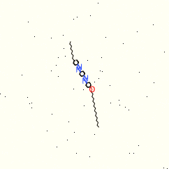 CCCCCCCCCCCCCCCCOc1ccc(N=Nc2ccc(N=Nc3ccc(CCCCCCCC)cc3)cc2)cc1